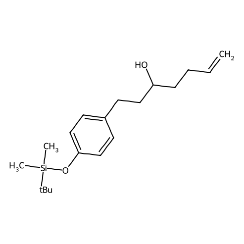 C=CCCC(O)CCc1ccc(O[Si](C)(C)C(C)(C)C)cc1